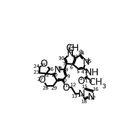 CC(=O)Nc1cc2c(-c3cc(OCCn4ccnc4)c4c(n3)C3(CCOC3)OCC4)cn(C)c2cn1